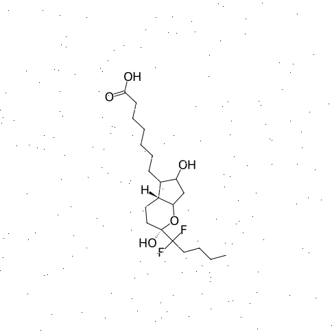 CCCCC(F)(F)[C@@]1(O)CC[C@H]2C(CC(O)C2CCCCCCC(=O)O)O1